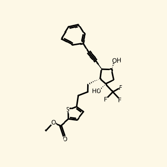 COC(=O)c1ccc(CCC[C@@H]2[C@@H](C#Cc3ccccc3)[C@H](O)C[C@@]2(O)C(F)(F)F)s1